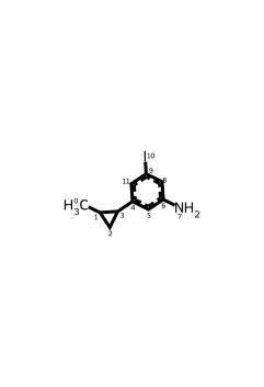 CC1CC1c1cc(N)cc(I)c1